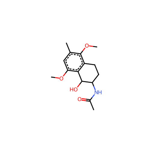 COc1cc(C)c(OC)c2c1C(O)C(NC(C)=O)CC2